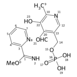 COC(=N)c1ccccn1.Cc1ncc(COP(=O)(O)O)c(C=O)c1O